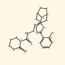 COCC1(OCc2ccccc2C)CC2CCC(C1)N2CCCNC(=O)N1CCCCC1=N